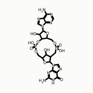 Nc1nc2c(ncn2C2OC3COP(=O)(O)OC4C(COP(=O)(O)CC2C3O)OC(n2cnc3c(N)ncnc32)C4O)c(=O)[nH]1